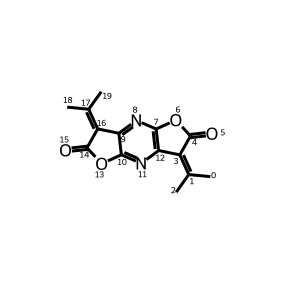 CC(C)=C1C(=O)Oc2nc3c(nc21)OC(=O)C3=C(C)C